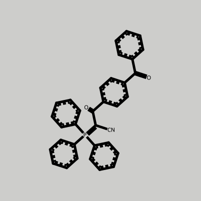 N#CC(C(=O)c1ccc(C(=O)c2ccccc2)cc1)=P(c1ccccc1)(c1ccccc1)c1ccccc1